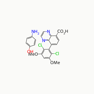 COc1cc(OC)c(Cl)c(-c2ccc(C(=O)O)c3nccnc23)c1Cl.Nc1ccc(O)cc1